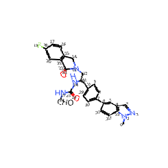 Cn1ncc2cc(-c3ccc([C@H](CN4Cc5ccc(F)cc5C4=O)NC(=O)NC=O)cc3)ccc21